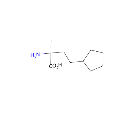 CC(N)(CCC1CCCC1)C(=O)O